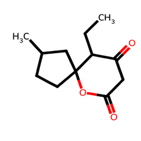 CCC1C(=O)CC(=O)OC12CCC(C)C2